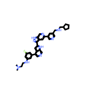 CN(C)CCNc1cc(F)cc(-c2cncc3[nH]c(-c4n[nH]c5cnc(-c6cncc(CNCC7CCCC7)c6)cc45)cc23)c1